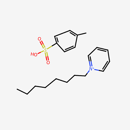 CCCCCCCC[n+]1ccccc1.Cc1ccc(S(=O)(=O)O)cc1